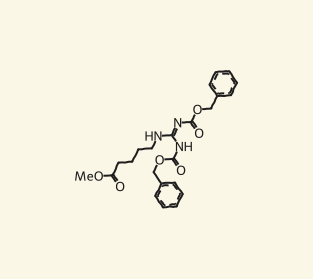 COC(=O)CCCCNC(=NC(=O)OCc1ccccc1)NC(=O)OCc1ccccc1